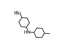 CC1CCC(NC2CCC(C(C)(C)C)CC2)CC1